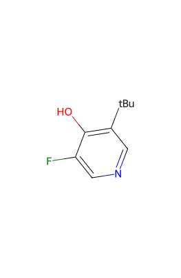 CC(C)(C)c1cncc(F)c1O